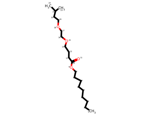 CCCCCCCCCOC(=O)CCCOCCOCCC(C)C